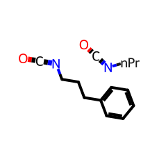 CCCN=C=O.O=C=NCCCc1ccccc1